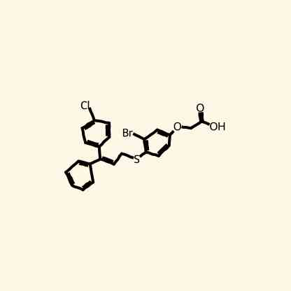 O=C(O)COc1ccc(SCC=C(c2ccccc2)c2ccc(Cl)cc2)c(Br)c1